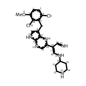 COc1ccc(Cl)c(Cc2c[nH]c3ncc(/C(C=N)=C/NC4CCNCC4)nc23)c1Cl